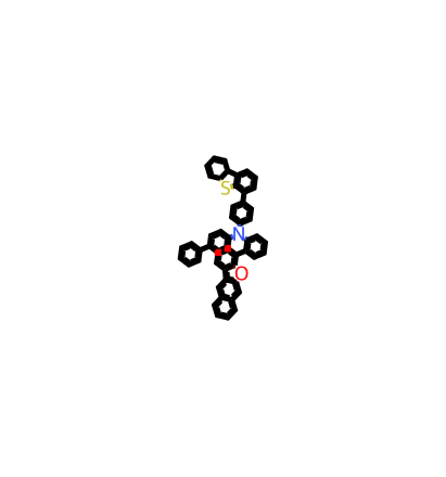 C1=CC2Sc3c(-c4ccc(N(c5ccc(-c6ccccc6)cc5)c5ccccc5-c5cccc6c5oc5cc7ccccc7cc56)cc4)cccc3C2C=C1